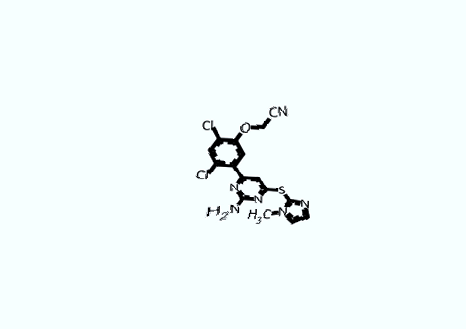 Cn1ccnc1Sc1cc(-c2cc(OCC#N)c(Cl)cc2Cl)nc(N)n1